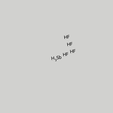 F.F.F.F.[SbH3]